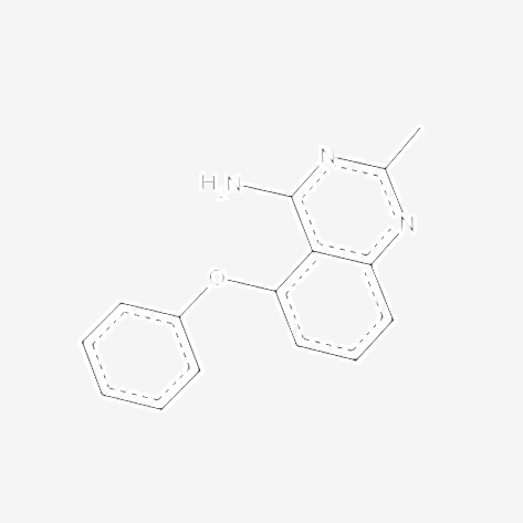 Cc1nc(N)c2c(Oc3ccccc3)cccc2n1